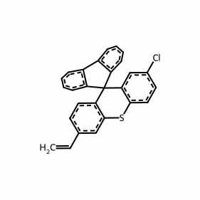 C=Cc1ccc2c(c1)Sc1ccc(Cl)cc1C21c2ccccc2-c2ccccc21